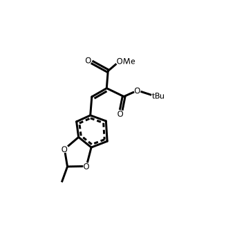 COC(=O)/C(=C/c1ccc2c(c1)OC(C)O2)C(=O)OC(C)(C)C